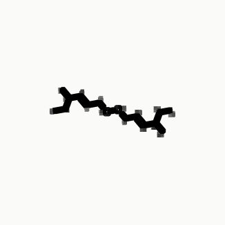 CCC(C)/C=C/COOC/C=C/C(C)CC